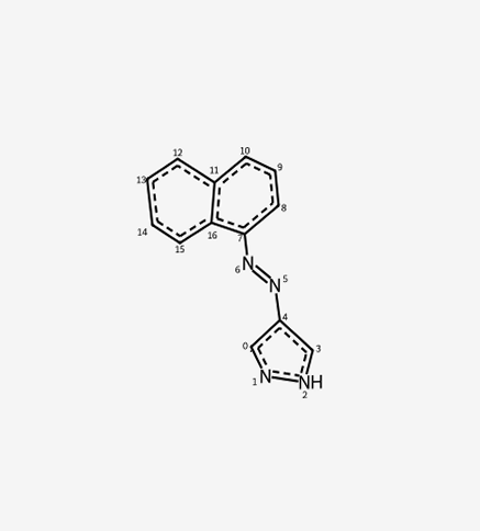 [c]1n[nH]cc1N=Nc1cccc2ccccc12